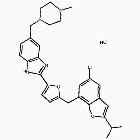 CC(C)c1cc2cc(Cl)cc(Cc3ccc(-c4nc5cc(CN6CCN(C)CC6)ccc5[nH]4)o3)c2o1.Cl